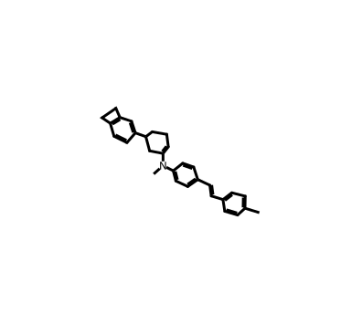 Cc1ccc(/C=C/c2ccc(N(C)C3=CCCC(c4ccc5c(c4)CC5)C3)cc2)cc1